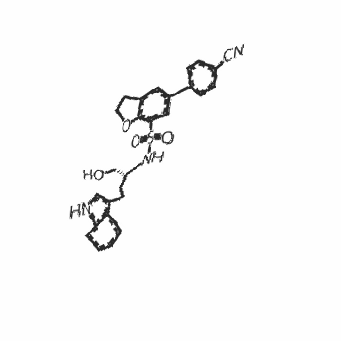 N#Cc1ccc(-c2cc3c(c(S(=O)(=O)N[C@@H](CO)Cc4c[nH]c5ccccc45)c2)OCC3)cc1